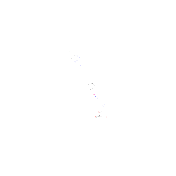 O=C(Cc1ccc(OCCCC2CCN(c3ncc(Cl)cn3)CC2)cc1F)N1CC2(CCN(C[C@H](O)[C@H](O)[C@H](O)CO)C2)C1